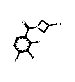 O=C(c1ccc(F)c(F)c1F)N1CC(O)C1